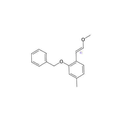 CO/C=C/c1ccc(C)cc1OCc1ccccc1